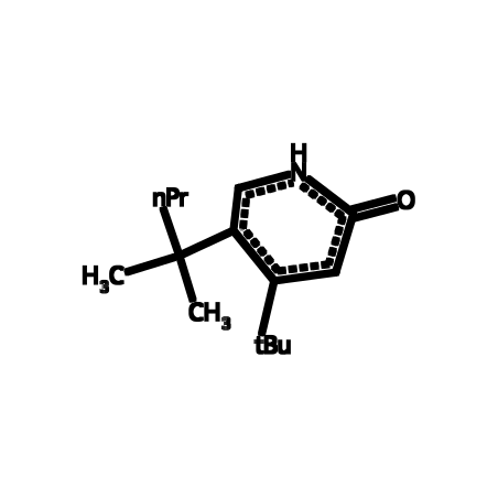 CCCC(C)(C)c1c[nH]c(=O)cc1C(C)(C)C